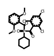 COc1cccc(OC)c1C(=O)P(=O)(C(=O)c1c(Cl)cc(Cl)cc1Cl)C1CCCCC1